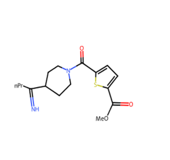 CCCC(=N)C1CCN(C(=O)c2ccc(C(=O)OC)s2)CC1